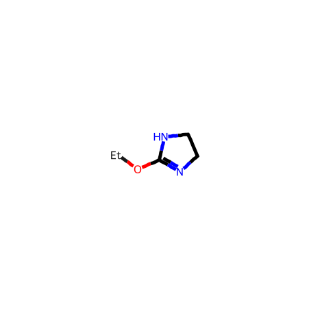 CCOC1=NCCN1